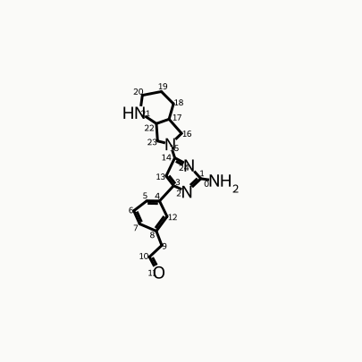 Nc1nc(-c2cccc(CC=O)c2)cc(N2CC3CCCNC3C2)n1